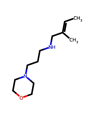 C/C=C(\C)CNCCCN1CCOCC1